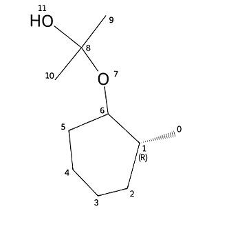 C[C@@H]1CCCCC1OC(C)(C)O